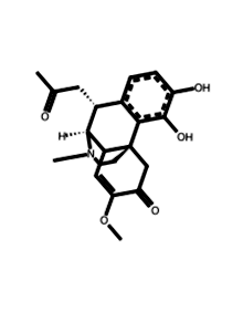 COC1=CC2[C@@H]3[C@H](CC(C)=O)c4ccc(O)c(O)c4[C@]2(CCN3C)CC1=O